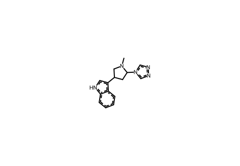 CN1CC(c2c[nH]c3ccccc23)CC1n1cnnc1